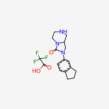 O=C(O)C(F)(F)F.O=C1N(c2ccc3c(c2)CCC3)CC2CNCCN12